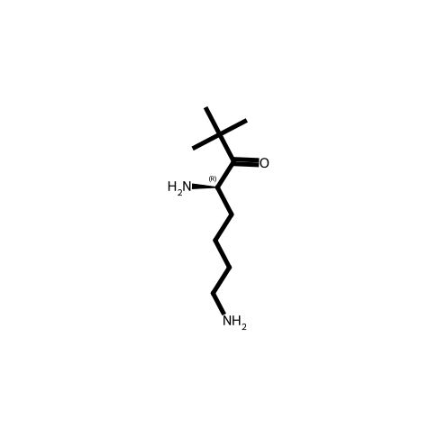 CC(C)(C)C(=O)[C@H](N)CCCCN